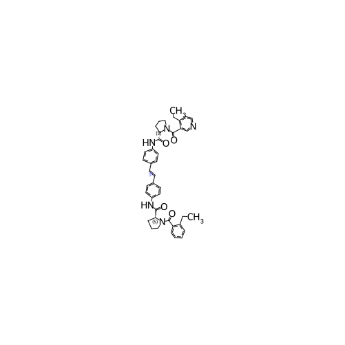 CCc1ccccc1C(=O)N1CCC[C@H]1C(=O)Nc1ccc(/C=C/c2ccc(NC(=O)[C@@H]3CCCN3C(=O)c3cnccc3CC)cc2)cc1